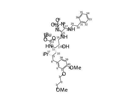 COCCCOc1cc(C[C@@H](C[C@H](NC(=O)OC(C)(C)C)[C@@H](O)CNC2=NS(=O)(=O)N=C2NCCc2ccccc2)C(C)C)ccc1OC